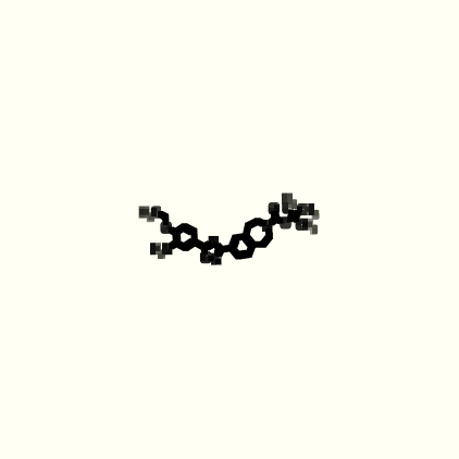 CCOc1ccc(-c2nc(-c3ccc4c(c3)CCN(C(=O)OC(C)(C)C)CC4)no2)cc1N